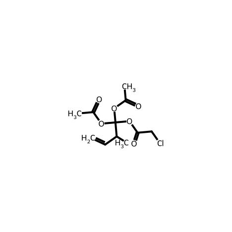 C=CC(C)C(OC(C)=O)(OC(C)=O)OC(=O)CCl